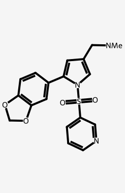 CNCc1cc(-c2ccc3c(c2)OCO3)n(S(=O)(=O)c2cccnc2)c1